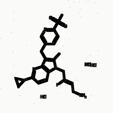 Cc1c(Cc2ccc(S(C)(=O)=O)nc2)c2nc(C3CC3)ccc2n1C/C(F)=C/CN.Cl.Cl.Cl